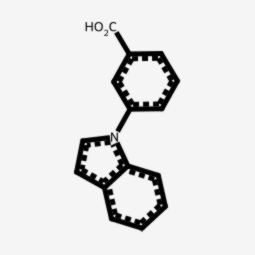 O=C(O)c1cccc(-n2ccc3c[c]ccc32)c1